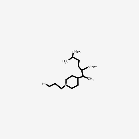 [CH2]C(C(CCCCC)CCC(C)CCCCCC)C1CCN(CCCS)CC1